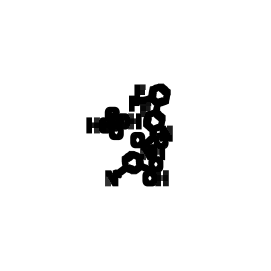 N#Cc1ccc(NC(=O)c2onc3cc(-c4ccccc4C(F)(F)F)ccc23)c(C(=O)O)c1.O=S(=O)(O)O